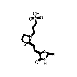 O=C1NC(=S)SC1=CC=C1SCCN1CCCS(=O)(=O)O